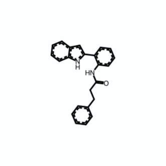 O=C(CCc1ccccc1)Nc1ccccc1-c1cc2ccccc2[nH]1